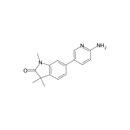 CN1C(=O)C(C)(C)c2ccc(-c3ccc(N)nc3)cc21